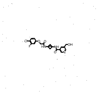 O=C(COc1ccc(Cl)c(F)c1)NC12CC(NC(=O)c3cncc(CO)c3)(C1)C2